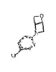 Clc1ccc(N2CC3OCC32)nc1